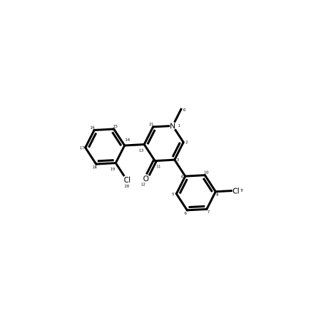 Cn1cc(-c2cccc(Cl)c2)c(=O)c(-c2ccccc2Cl)c1